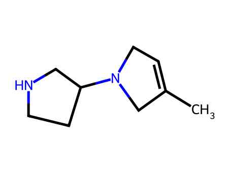 CC1=CCN(C2CCNC2)C1